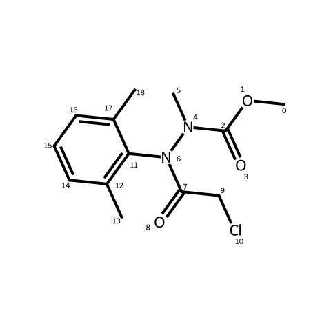 COC(=O)N(C)N(C(=O)CCl)c1c(C)cccc1C